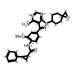 COc1cc(-c2nn(C3CCC4(CC3)CO4)c3ncnc(N)c23)ccc1NC(=O)C1CC1c1ccccc1